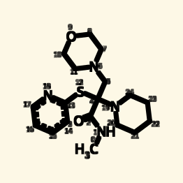 CNC(=O)C(CN1CCOCC1)(Sc1ccccn1)N1CCCCC1